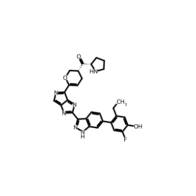 CCc1cc(O)c(F)cc1-c1ccc2c(C3=NC4=CN=C(C5=CC[C@@H](C(=O)[C@@H]6CCCN6)CO5)C4=N3)n[nH]c2c1